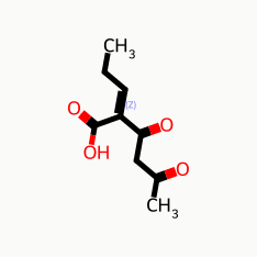 CC/C=C(\C(=O)O)C(=O)CC(C)=O